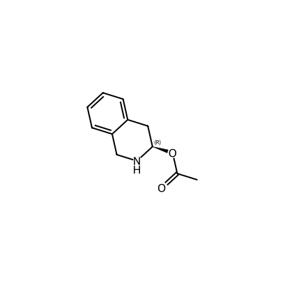 CC(=O)O[C@@H]1Cc2ccccc2CN1